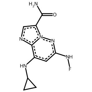 NC(=O)c1cnc2c(NC3CC3)cc(NF)nn12